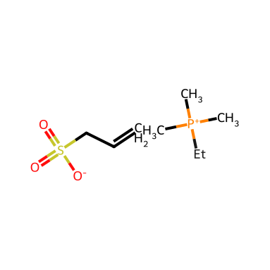 C=CCS(=O)(=O)[O-].CC[P+](C)(C)C